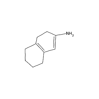 NC1=CC2=C(CCCC2)CC1